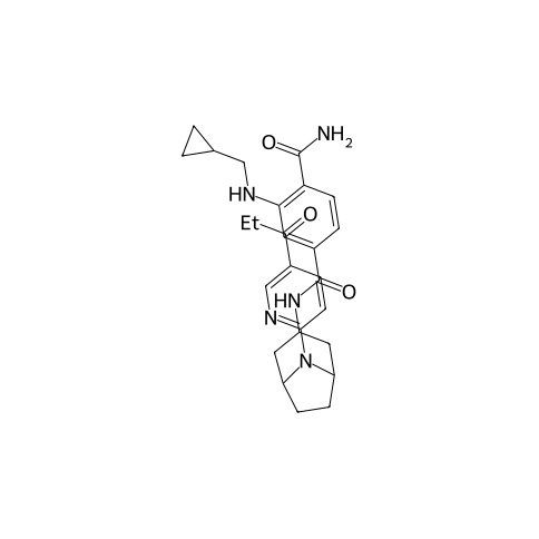 CCC(=O)c1ccc(N2C3CCC2CC(NC(=O)c2ccc(C(N)=O)c(NCC4CC4)c2)C3)nc1